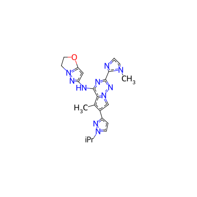 Cc1c(-c2ccn(C(C)C)n2)cn2nc(-c3nccn3C)nc(Nc3cc4n(n3)CCO4)c12